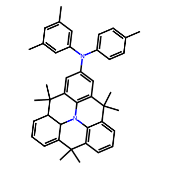 Cc1ccc(N(c2cc(C)cc(C)c2)c2cc3c4c(c2)C(C)(C)C2C=CC=C5C2N4c2c(cccc2C3(C)C)C5(C)C)cc1